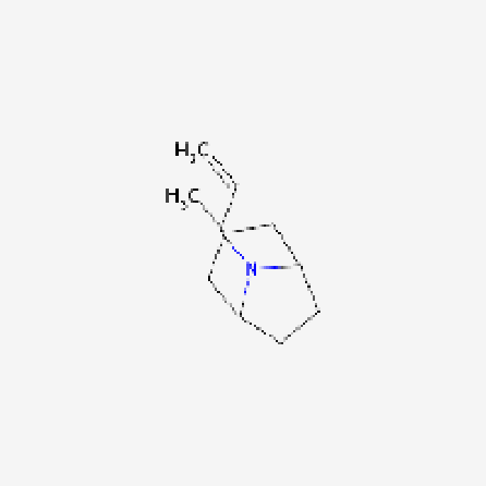 C=CCN1C2CCC1CC(C)C2